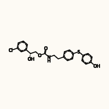 O=C(NCCc1ccc(Sc2ccc(O)cc2)cc1)OC[C@H](O)c1cccc(Cl)c1